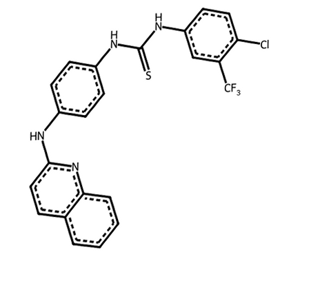 FC(F)(F)c1cc(NC(=S)Nc2ccc(Nc3ccc4ccccc4n3)cc2)ccc1Cl